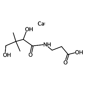 CC(C)(CO)C(O)C(=O)NCCC(=O)O.[Ca]